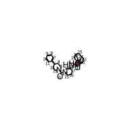 O=C(N1CCC(c2ccccc2)CC1)N1CCC[C@H](NC(=O)C23CC4CC(C2)C(O)C(C4)C3)C1